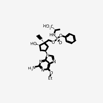 C#C[C@]1(CO[P@@](=O)(N[C@@H](C)C(=O)O)Oc2ccccc2)C[C@@H](n2cnc3c(OCC)nc(N)nc32)C[C@@H]1O